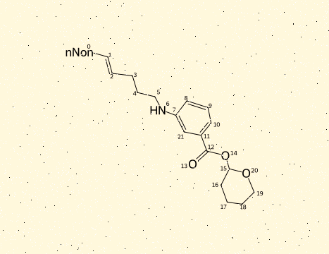 CCCCCCCCCC=CCCCNc1cccc(C(=O)OC2CCCCO2)c1